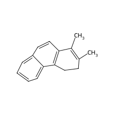 CC1=C(C)c2ccc3ccccc3c2CC1